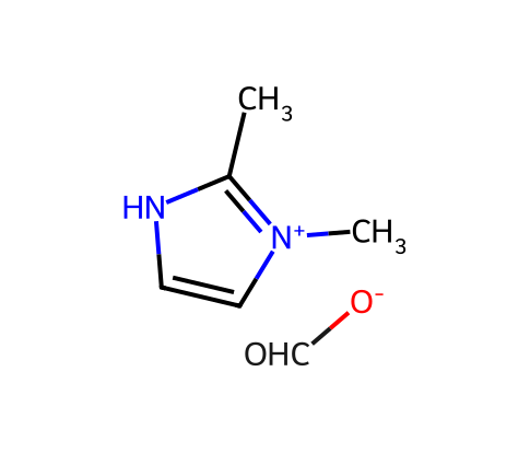 Cc1[nH]cc[n+]1C.O=C[O-]